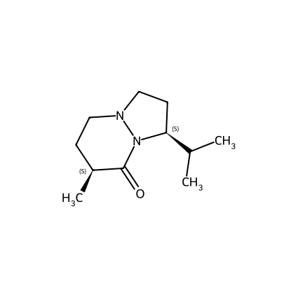 CC(C)[C@@H]1CCN2CC[C@H](C)C(=O)N12